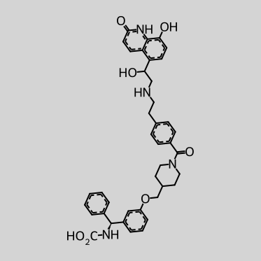 O=C(O)N[C@@H](c1ccccc1)c1cccc(OCC2CCN(C(=O)c3ccc(CCNCC(O)c4ccc(O)c5[nH]c(=O)ccc45)cc3)CC2)c1